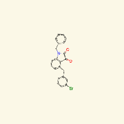 O=C1C(=O)N(Cc2ccccc2)c2cccc(Cc3cccc(Br)c3)c21